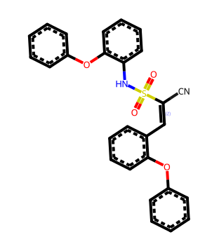 N#C/C(=C/c1ccccc1Oc1ccccc1)S(=O)(=O)Nc1ccccc1Oc1ccccc1